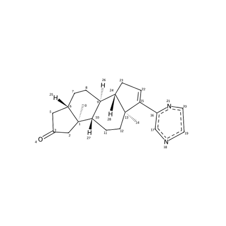 C[C@]12CC(=O)C[C@@H]1CC[C@@H]1[C@@H]2CC[C@]2(C)C(c3cnccn3)=CC[C@@H]12